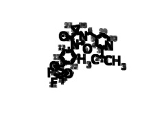 CC(C)c1cc(CN2C(=O)N(c3ccc(S(=O)(=O)C(F)(F)F)cc3)C(=O)C23CC3)ccn1